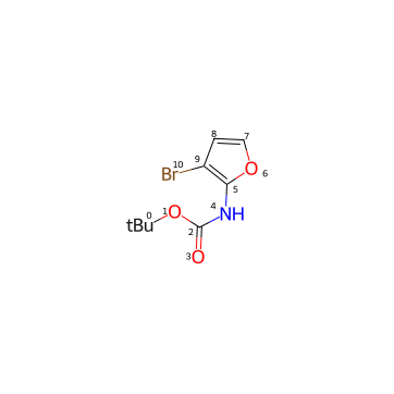 CC(C)(C)OC(=O)Nc1occc1Br